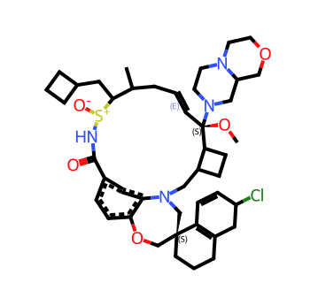 CO[C@]1(N2CCN3CCOCC3C2)/C=C/CC(C)C(CC2CCC2)[S+]([O-])NC(=O)c2ccc3c(c2)N(CC2CCC21)C[C@@]1(CCCC2=C1C=CC(Cl)C2)CO3